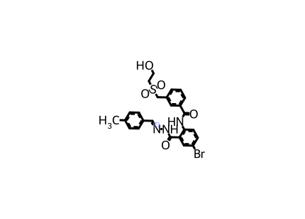 Cc1ccc(/C=N/NC(=O)c2cc(Br)ccc2NC(=O)c2cccc(CS(=O)(=O)CCO)c2)cc1